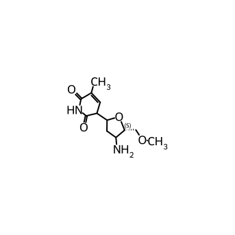 COC[C@H]1OC(C2C=C(C)C(=O)NC2=O)CC1N